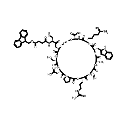 C[C@@H]1NC(=O)[C@H](CS)NC(=O)[C@H](CCCNC(=N)N)CC(=O)C2CCCN2C(=O)[C@H](CC(=O)O)NC(=O)[C@H](CO)NC(=O)[C@@H](CC(=O)[C@H](CS)NC(=O)CCC(=O)OCC2c3ccccc3-c3ccccc32)CCCC[C@@H](C(N)=O)NC(=O)[C@H](CCCCC(=N)N)NC(=O)[C@H](Cc2cc3ccccc3[nH]2)CC1=O